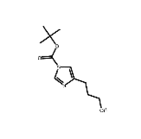 CC(C)(C)OC(=O)n1cnc(CCCO)c1